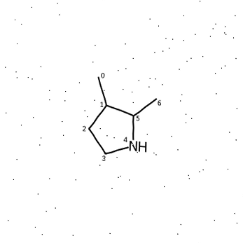 CC1CCNC1C